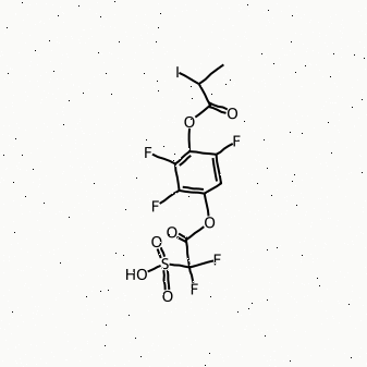 CC(I)C(=O)Oc1c(F)cc(OC(=O)C(F)(F)S(=O)(=O)O)c(F)c1F